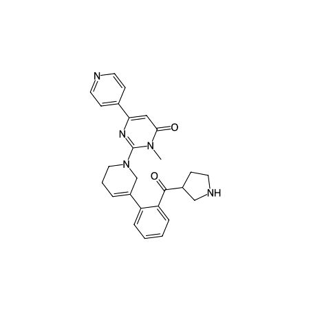 Cn1c(N2CCC=C(c3ccccc3C(=O)C3CCNC3)C2)nc(-c2ccncc2)cc1=O